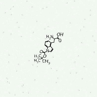 CC(C)(C)OC(=O)n1ccc2c(CC(N)C(=O)O)cccc21